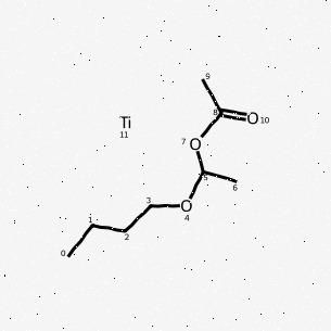 CCCCOC(C)OC(C)=O.[Ti]